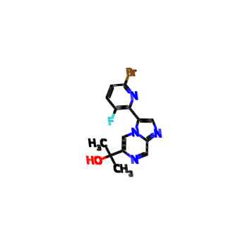 CC(C)(O)c1cn2c(-c3nc(Br)ccc3F)cnc2cn1